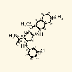 COc1cc2c(cc1Nc1nnc(C(N)=O)c(Nc3cccc(Cl)c3)n1)CN(C)CC2